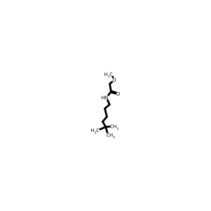 COCC(=O)NCCCCC(C)(C)C